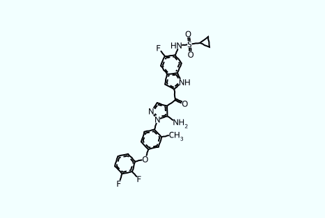 Cc1cc(Oc2cccc(F)c2F)ccc1-n1ncc(C(=O)c2cc3cc(F)c(NS(=O)(=O)C4CC4)cc3[nH]2)c1N